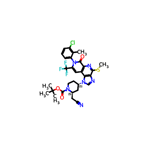 CSc1nc2c(=O)n(-c3cccc(Cl)c3C)c(C(F)(F)F)cc2c2c1ncn2[C@H]1CCN(C(=O)OC(C)(C)C)[C@H](CC#N)C1